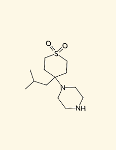 CC(C)CC1(N2CCNCC2)CCS(=O)(=O)CC1